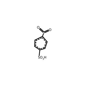 O=I(=O)c1ccc(S(=O)(=O)O)cc1